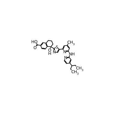 CCC(CC)c1ccnc(Nc2cc(C)cc(-c3cnc([C@@]4(O)CCCc5cc(C(=O)O)ccc54)s3)n2)c1